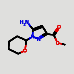 COC(=O)c1cc(N)n(C2CCCCO2)n1